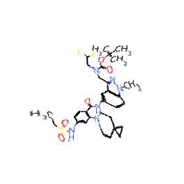 CCS(=O)(=O)Nc1ccc(C(=O)Nc2ccc3c(c2)c(CN(CC(F)F)C(=O)OC(C)(C)C)nn3C)c(N2CCC3(CC2)CC3)c1